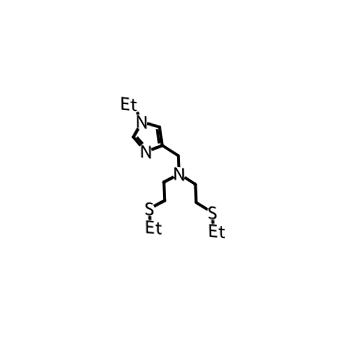 CCSCCN(CCSCC)Cc1cn(CC)cn1